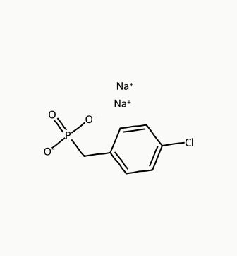 O=P([O-])([O-])Cc1ccc(Cl)cc1.[Na+].[Na+]